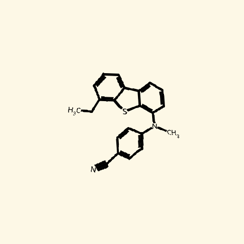 CCc1cccc2c1sc1c(N(C)c3ccc(C#N)cc3)cccc12